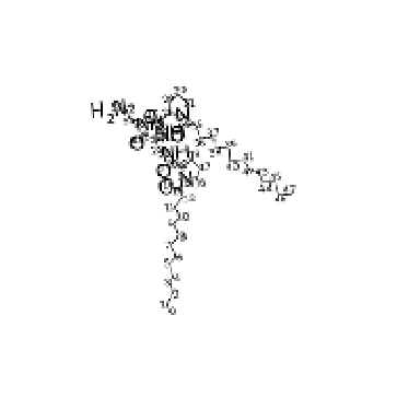 CCCCCCCCCCCCCC(=O)N1CCCC1C(=O)NCC(NC(=O)C1CCCN1C(=O)CCCCCCCCCCCCC)C(=O)NCCN